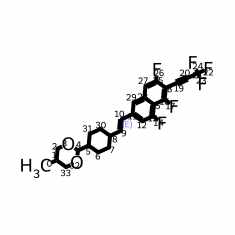 CC1COC(C2CCC(/C=C/c3cc(F)c4c(F)c(C#CC(F)(F)F)c(F)cc4c3)CC2)OC1